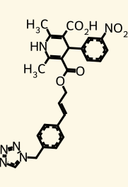 CC1=C(C(=O)O)C(c2cccc([N+](=O)[O-])c2)C(C(=O)OC/C=C/c2ccc(Cn3cnnn3)cc2)=C(C)N1